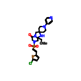 COCC12CN(S(=O)(=O)C=Cc3ccc(Cl)s3)CC(=O)N1CC1(CCN(c3ccncc3)CC1)N2